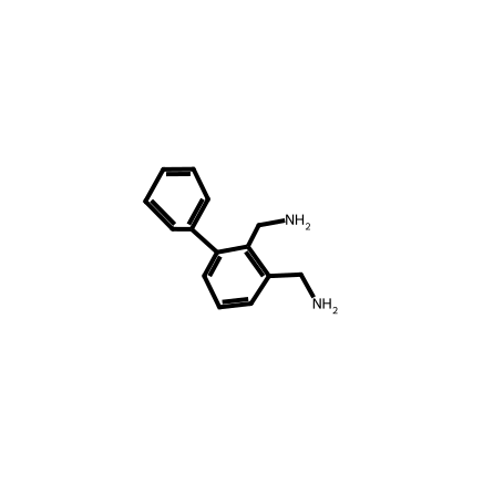 NCc1cccc(-c2ccccc2)c1CN